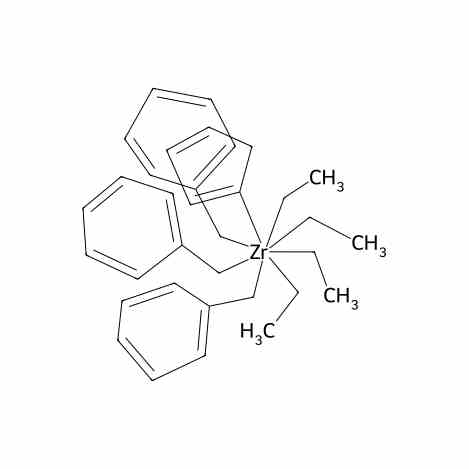 C[CH2][Zr]([CH2]C)([CH2]C)([CH2]C)([CH2]c1ccccc1)([CH2]c1ccccc1)([CH2]c1ccccc1)[C]1=CC=CC1